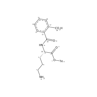 [2H]OC(=O)[C@H](CCCN)NC(=O)c1ccccc1C(=O)O